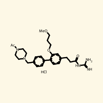 COCCCOc1cc(CCC(=O)NC(=N)N)ccc1-c1ccc(CN2CCN(C(C)=O)CC2)cc1.Cl